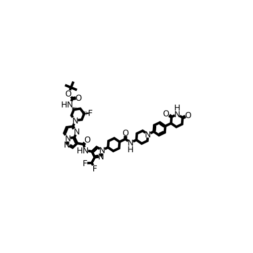 CC(C)(C)OC(=O)N[C@@H]1C[C@@H](F)CN(c2ccn3ncc(C(=O)Nc4cn(C5CCC(C(=O)NC6CCN(c7ccc(C8CCC(=O)NC8=O)cc7)CC6)CC5)nc4C(F)F)c3n2)C1